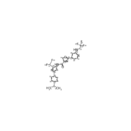 CC(C)c1ccc(-n2cc(NC(=O)c3coc(-c4ccnc(NCC(F)(F)F)c4)n3)c(C(F)F)n2)cc1